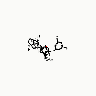 COc1cc(N2C[C@H]3CC[C@@H](C2)[C@H]3Nc2nc(Oc3cc(F)cc(Cl)c3)n(C(C)C)n2)ccn1